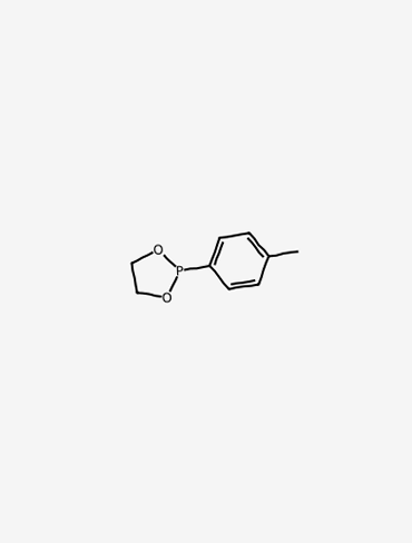 Cc1ccc(P2OCCO2)cc1